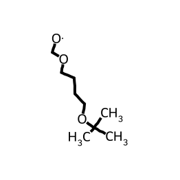 CC(C)(C)OCCCCOC[O]